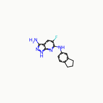 Nc1n[nH]c2nc(Nc3ccc4c(c3)CCC4)c(F)cc12